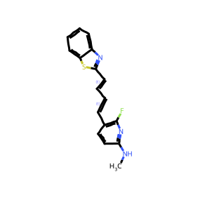 CNc1ccc(/C=C/C=C/c2nc3ccccc3s2)c(F)n1